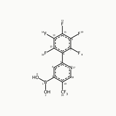 OB(O)c1cc(-c2c(F)c(F)c(F)c(F)c2F)ncc1C(F)(F)F